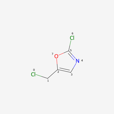 ClCc1cnc(Cl)o1